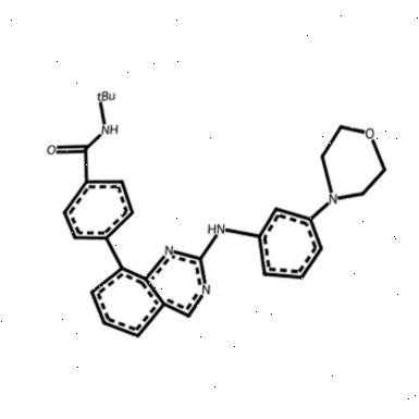 CC(C)(C)NC(=O)c1ccc(-c2cccc3cnc(Nc4cccc(N5CCOCC5)c4)nc23)cc1